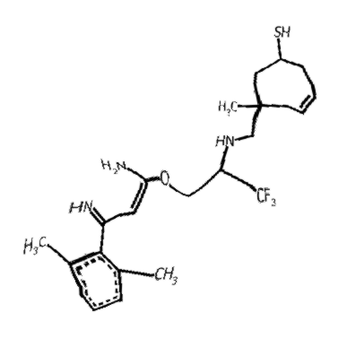 Cc1cccc(C)c1C(=N)/C=C(\N)OCC(NCC1(C)C=CCC(S)C1)C(F)(F)F